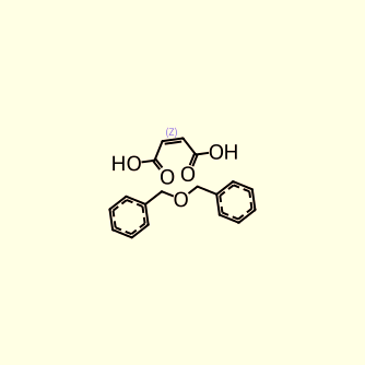 O=C(O)/C=C\C(=O)O.c1ccc(COCc2ccccc2)cc1